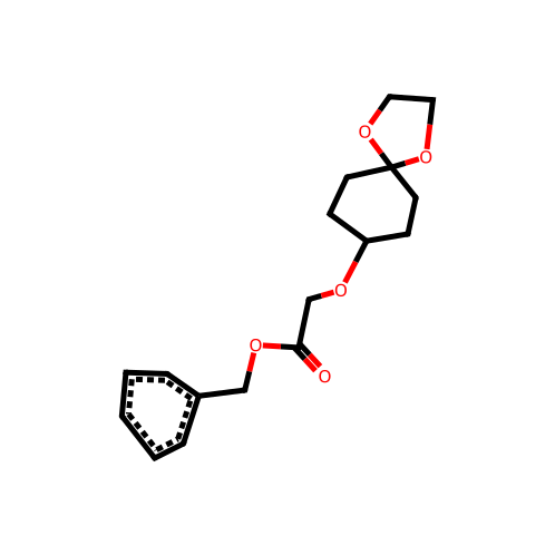 O=C(COC1CCC2(CC1)OCCO2)OCc1ccccc1